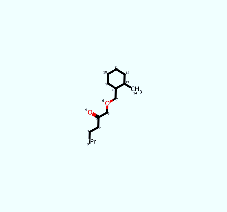 CC(C)CCC(=O)COCC1CCCCC1C